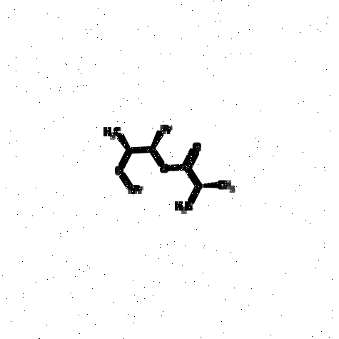 CCCO[C@@H](C)[C@H](OC(=O)[C@H](C)N)C(C)C